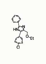 CCOCc1nc(-c2ccccc2)[nH]c1-c1ccc(Cl)cc1